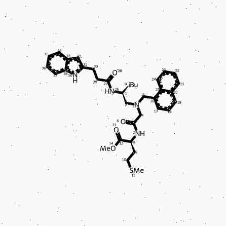 CC[C@H](C)[C@@H](CN(CC(=O)N[C@@H](CCSC)C(=O)OC)Cc1cccc2ccccc12)NC(=O)CCc1cc2ccccc2[nH]1